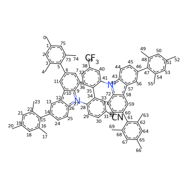 Cc1cc(C)c(-c2ccc3c(c2)c2cc(-c4c(C)cc(C)cc4C)ccc2n3-c2ccc(C#N)cc2-c2ccc(C(F)(F)F)cc2-n2c3ccc(-c4c(C)cc(C)cc4C)cc3c3cc(-c4c(C)cc(C)cc4C)ccc32)c(C)c1